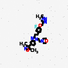 Cc1noc(C)c1-c1ccc2c(c1)nc(CCc1ccc(OCc3cn(C)nn3)c(F)c1)n2CCN1CCOCC1